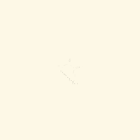 O=S(O)S(=O)O.[N-]=[N-].[Na+].[Na+]